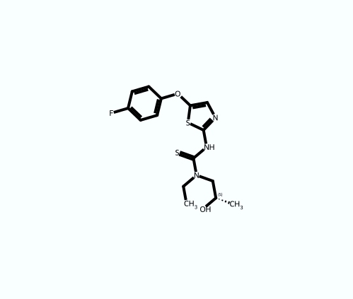 CCN(C[C@H](C)O)C(=S)Nc1ncc(Oc2ccc(F)cc2)s1